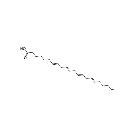 CCCCCC=CCC=CCC=CCC=CCCCCCC(=O)O